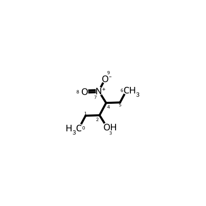 CCC(O)C(CC)[N+](=O)[O-]